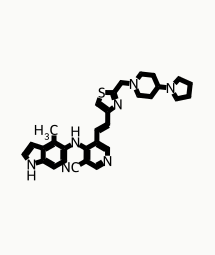 Cc1c(Nc2c(C#N)cncc2C=Cc2csc(CN3CCC(N4CCCC4)CC3)n2)ccc2[nH]ccc12